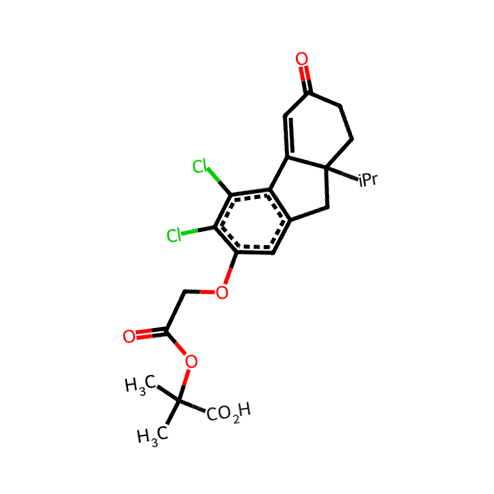 CC(C)C12CCC(=O)C=C1c1c(cc(OCC(=O)OC(C)(C)C(=O)O)c(Cl)c1Cl)C2